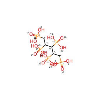 O=P(O)(O)CC(C(C(CP(=O)(O)O)P(=O)(O)O)P(=O)(O)O)P(=O)(O)O